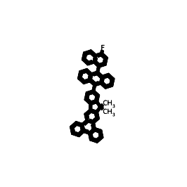 CC1(C)c2cc(-c3c4ccccc4c(-c4ccc(F)c5ccccc45)c4ccccc34)ccc2-c2cc3c4ccccc4c4ccccc4c3cc21